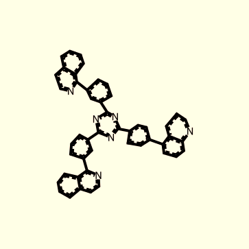 c1cc(-c2nc(-c3ccc(-c4cccc5ncccc45)cc3)nc(-c3cccc(-c4nccc5ccccc45)c3)n2)cc(-c2nccc3ccccc23)c1